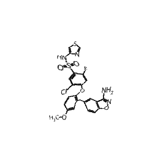 COc1ccc(Oc2cc(F)c(S(=O)(=O)Nc3cscn3)cc2Cl)c(-c2ccc3onc(N)c3c2)c1